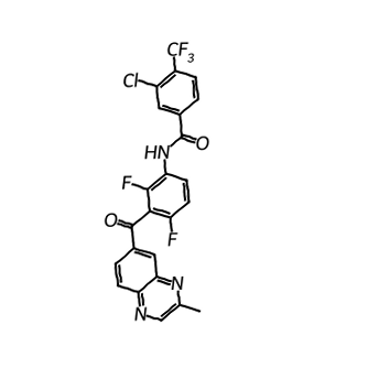 Cc1cnc2ccc(C(=O)c3c(F)ccc(NC(=O)c4ccc(C(F)(F)F)c(Cl)c4)c3F)cc2n1